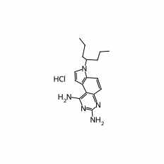 CCCC(CCC)n1ccc2c3c(N)nc(N)nc3ccc21.Cl